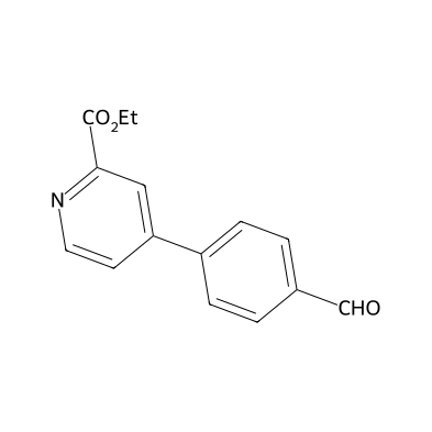 CCOC(=O)c1cc(-c2ccc(C=O)cc2)ccn1